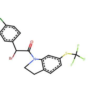 O=C(C(Br)c1ccc(Cl)cc1)N1CCc2ccc(SC(F)(F)F)cc21